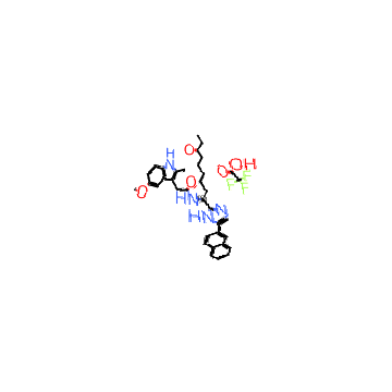 CCC(=O)CCCCC[C@H](NC(=O)Cc1c(C)[nH]c2ccc(OC)cc12)c1ncc(-c2ccc3ccccc3c2)[nH]1.O=C(O)C(F)(F)F